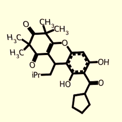 CC(C)CC1C2=C(Oc3cc(O)c(C(=O)C4CCCC4)c(O)c31)C(C)(C)C(=O)C(C)(C)C2=O